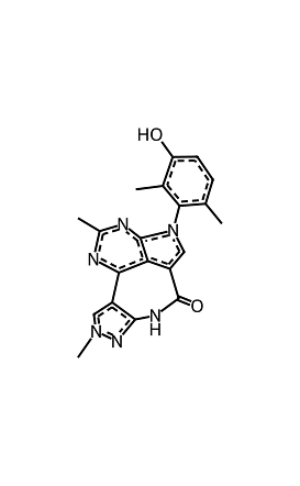 Cc1nc2c3c(cn(-c4c(C)ccc(O)c4C)c3n1)C(=O)Nc1nn(C)cc1-2